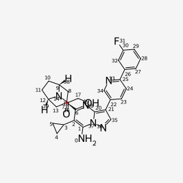 Nc1c(C2CC2)c([C@@H]2C[C@H]3CC[C@@H](C2)N3C(=O)CO)nc2c(-c3ccc(-c4cccc(F)c4)nc3)cnn12